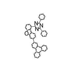 c1ccc(-c2nc(-c3ccccc3)nc(-c3cccc4oc5cc(-c6ccc7c8ccccc8c8ccccc8c7c6)ccc5c34)n2)cc1